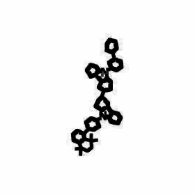 CC1(C)CCC(C)(C)c2c(-c3ccc(-n4c5ccccc5c5cc(-c6ccc7c(c6)c6ccccc6n7-c6cccc(-c7ccccc7)c6)ccc54)cc3)cccc21